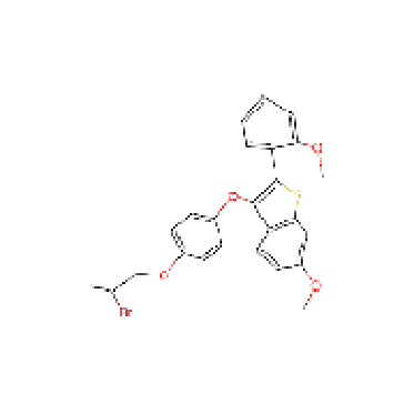 COc1ccc2c(Oc3ccc(OCC(C)Br)cc3)c(-c3ccccc3OC)sc2c1